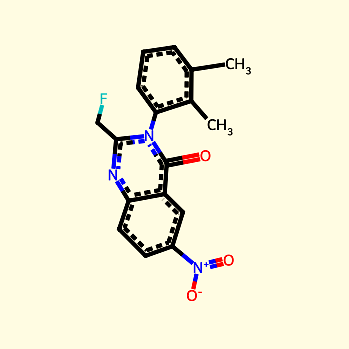 Cc1cccc(-n2c(CF)nc3ccc([N+](=O)[O-])cc3c2=O)c1C